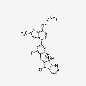 [2H]C1([2H])c2ncccc2C(=O)N1Cc1c(F)cc(-c2ccc(OCSC)c3nn(C)cc23)cc1F